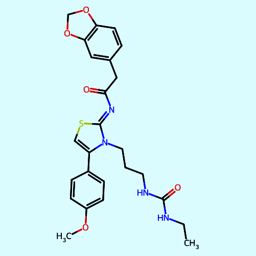 CCNC(=O)NCCCn1c(-c2ccc(OC)cc2)cs/c1=N\C(=O)Cc1ccc2c(c1)OCO2